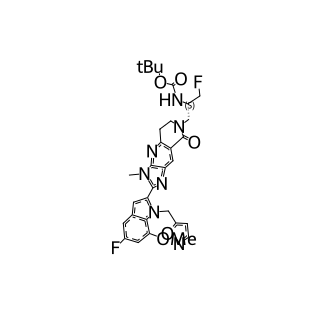 COc1cc(F)cc2cc(-c3nc4cc5c(nc4n3C)CCN(C[C@@H](CF)NC(=O)OC(C)(C)C)C5=O)n(Cc3ccno3)c12